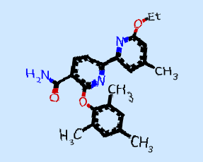 CCOc1cc(C)cc(-c2ccc(C(N)=O)c(Oc3c(C)cc(C)cc3C)n2)n1